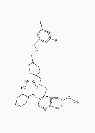 COc1ccc2ncc(CN3CCOCC3)c(CCCC3(C(=O)NO)CCN(CCOc4cc(F)cc(F)c4)CC3)c2c1